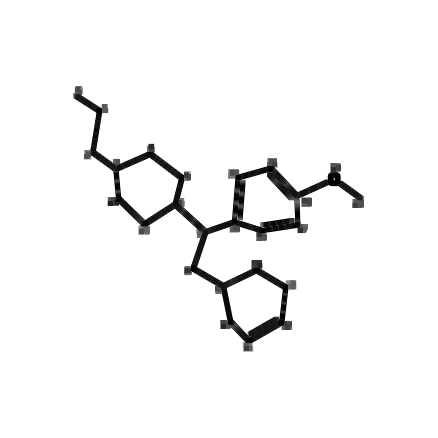 CCCC1CCC(C(CC2CC=CCC2)c2ccc(OC)cc2)CC1